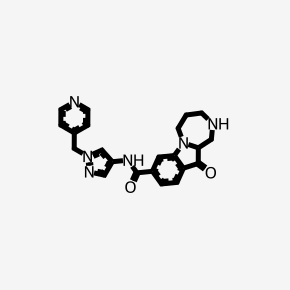 O=C(Nc1cnn(Cc2ccncc2)c1)c1ccc2c(c1)N1CCCNCC1C2=O